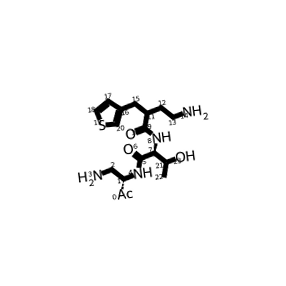 CC(=O)[C@H](CN)NC(=O)[C@@H](NC(=O)C(CCN)Cc1ccsc1)C(C)O